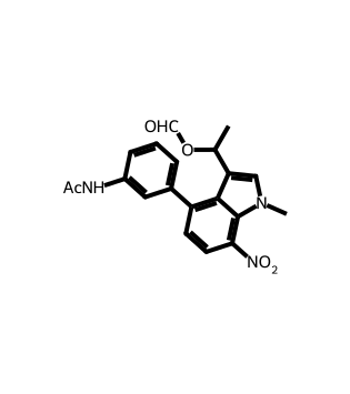 CC(=O)Nc1cccc(-c2ccc([N+](=O)[O-])c3c2c(C(C)OC=O)cn3C)c1